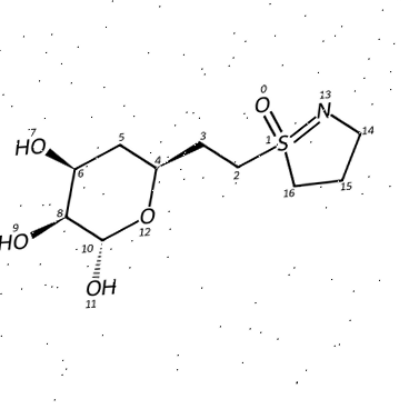 O=S1(CC[C@@H]2C[C@H](O)[C@H](O)[C@@H](O)O2)=NCCC1